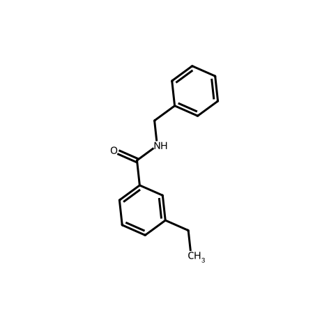 CCc1cccc(C(=O)NCc2ccccc2)c1